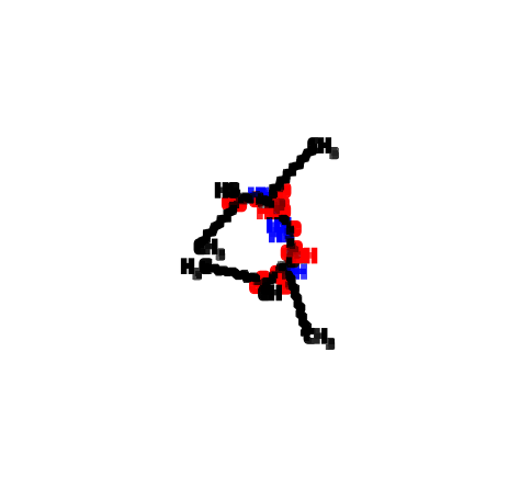 C#C[C@H](CCOC[C@H](COP(=O)(O)OCCNC(=O)NCCOP(=O)(O)OC[C@@H](COCC[C@@H](C#C)OC(=O)CCCCCCCCCCC)NC(=O)CC(=O)CCCCCCCCCCC)NC(=O)CC(=O)CCCCCCCCCCC)OC(=O)CCCCCCCCCCC